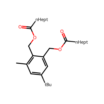 CCCCCCCC(=O)OCc1cc(C(C)(C)C)cc(C)c1COC(=O)CCCCCCC